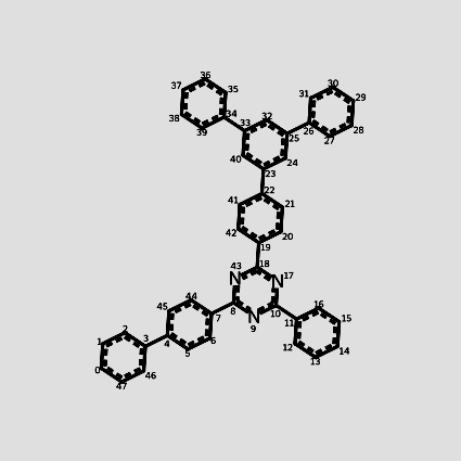 c1ccc(-c2ccc(-c3nc(-c4ccccc4)nc(-c4ccc(-c5cc(-c6ccccc6)cc(-c6ccccc6)c5)cc4)n3)cc2)cc1